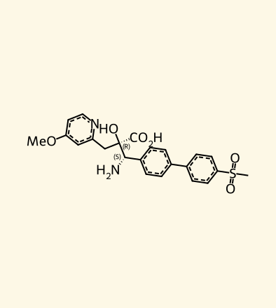 COc1ccnc(C[C@](O)(C(=O)O)[C@@H](N)c2ccc(-c3ccc(S(C)(=O)=O)cc3)cc2)c1